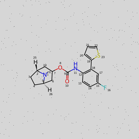 CN1[C@@H]2CC[C@@H]1CC(OC(=O)Nc1ccc(F)cc1-c1cccs1)C2